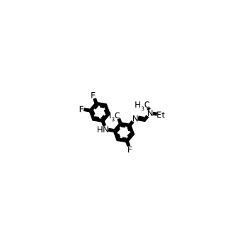 CCN(C)C=Nc1cc(F)cc(Nc2ccc(F)c(F)c2)c1C